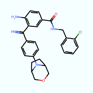 N=C(c1ccc(N2C3CCC2COC3)cc1)c1cc(C(=O)NCc2ccccc2Cl)ccc1N